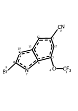 N#Cc1cc(OC(F)(F)F)c2nc(Br)sc2c1